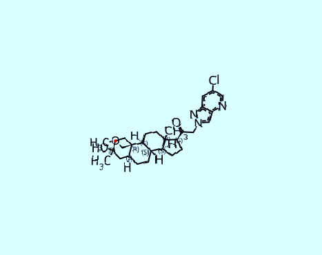 COC[C@]12CC[C@@](C)(O)C[C@@H]1CC[C@H]1[C@@H]3CC[C@H](C(=O)Cn4cc5ncc(Cl)cc5n4)[C@@]3(C)CC[C@@H]12